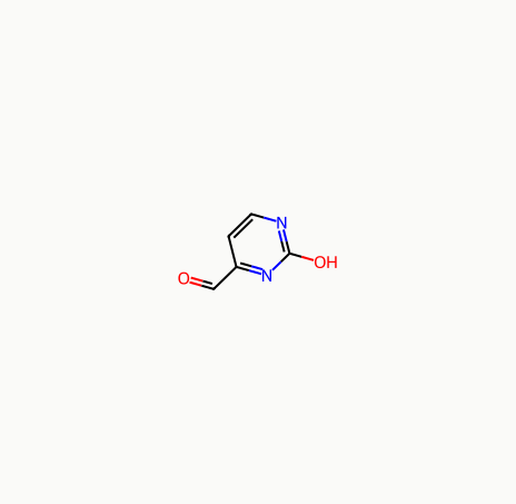 O=Cc1ccnc(O)n1